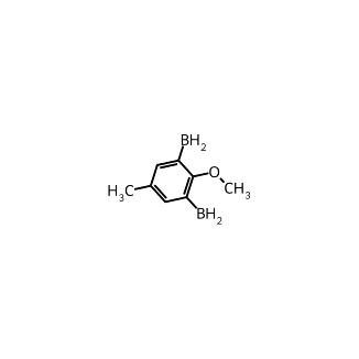 Bc1cc(C)cc(B)c1OC